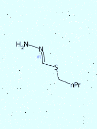 CCCCS/C=N/N